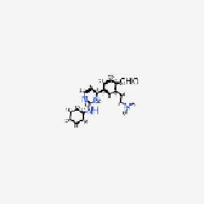 CN(C)CCc1cc(-c2ccnc(NC3CCCCC3)n2)ccc1C=O